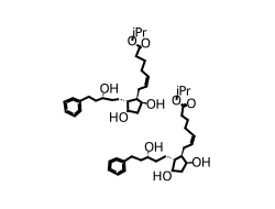 CC(C)OC(=O)CCC/C=C\C[C@@H]1[C@@H](CC[C@@H](O)CCc2ccccc2)[C@H](O)C[C@@H]1O.CC(C)OC(=O)CCC/C=C\C[C@@H]1[C@@H](CC[C@@H](O)CCc2ccccc2)[C@H](O)C[C@@H]1O